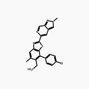 Cc1cc2nc(-c3cc4cn(C)nc4cn3)sc2c(-c2ccc(Cl)cc2)c1CC(=O)O